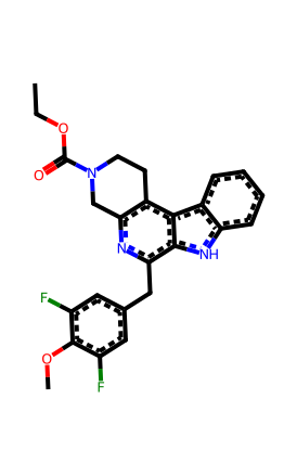 CCOC(=O)N1CCc2c(nc(Cc3cc(F)c(OC)c(F)c3)c3[nH]c4ccccc4c23)C1